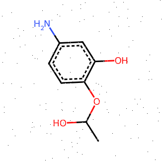 CC(O)Oc1ccc(N)cc1O